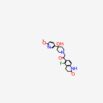 COc1ccc(C2(O)CCN(CC(=O)c3ccc4c(c3F)CCC(=O)N4)CC2)cn1